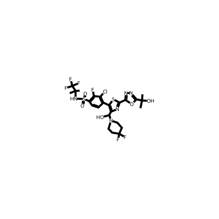 CC(C)(O)c1nnc(-c2nc(C(O)N3CCC(F)(F)CC3)c(-c3ccc(S(=O)(=O)NC(C)(C)C(F)(F)F)c(F)c3Cl)s2)o1